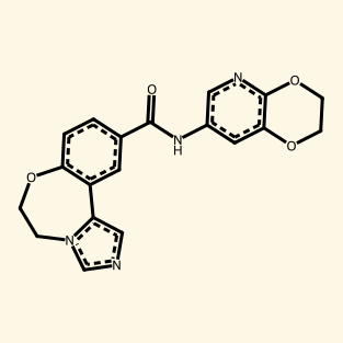 O=C(Nc1cnc2c(c1)OCCO2)c1ccc2c(c1)-c1cncn1CCO2